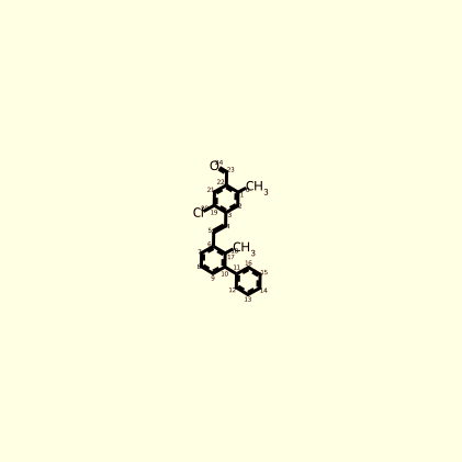 Cc1cc(/C=C/c2cccc(-c3ccccc3)c2C)c(Cl)cc1C=O